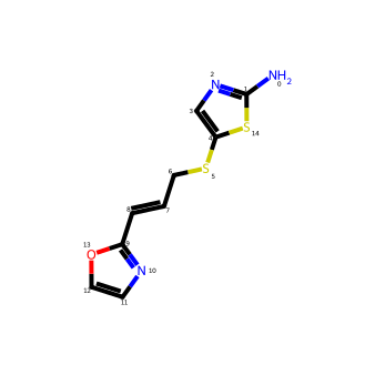 Nc1ncc(SCC=Cc2ncco2)s1